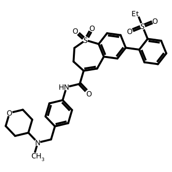 CCS(=O)(=O)c1ccccc1-c1ccc2c(c1)C=C(C(=O)Nc1ccc(CN(C)C3CCOCC3)cc1)CCS2(=O)=O